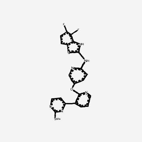 CSc1nccc(-c2cccnc2Oc2ccc(Nc3nc4ccc(F)c(F)c4[nH]3)nc2)n1